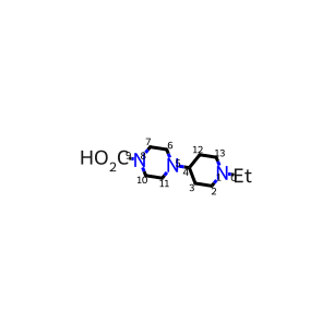 CCN1CCC(N2CCN(C(=O)O)CC2)CC1